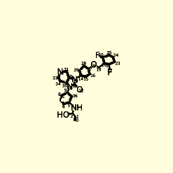 C=CC(O)Nc1cccc(-n2c(=O)n(-c3ccc(OCc4c(F)cccc4F)cc3)c3cnccc32)c1